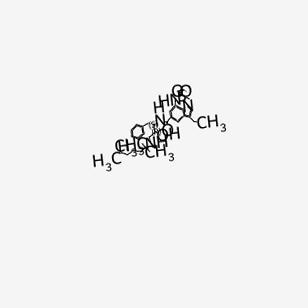 CCc1cn2c3c(cc(C(=O)N[C@@H](Cc4ccccc4)[C@H](O)CNC(C)(C)CCCC(C)C)cc13)NS(=O)(=O)C2